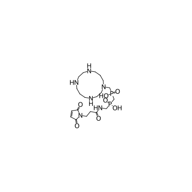 O=C(CCN1C(=O)C=CC1=O)NCP(=O)(O)CP(=O)(O)CN1CCCNCCNCCCNCC1